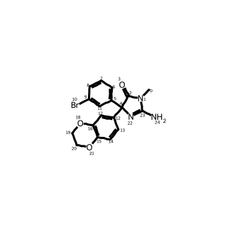 CN1C(=O)C(c2cccc(Br)c2)(c2ccc3c(c2)OCCO3)N=C1N